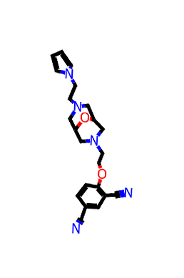 N#Cc1ccc(OCCN2CC3CN(CCn4cccc4)CC(C2)O3)c(C#N)c1